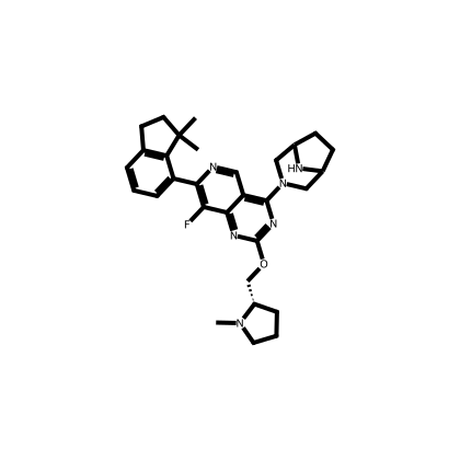 CN1CCC[C@H]1COc1nc(N2CC3CCC(C2)N3)c2cnc(-c3cccc4c3C(C)(C)CC4)c(F)c2n1